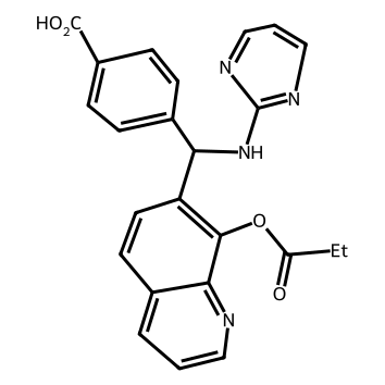 CCC(=O)Oc1c(C(Nc2ncccn2)c2ccc(C(=O)O)cc2)ccc2cccnc12